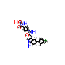 O=C(Cc1c[nH]c2ccc(-c3ccc(F)cc3)cc12)Nc1ccc(C(=O)NO)cc1